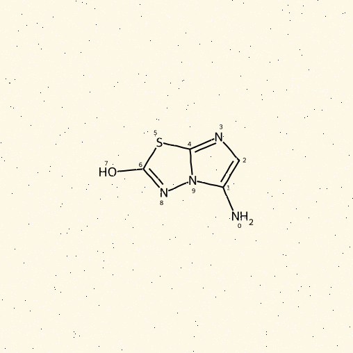 Nc1cnc2sc(O)nn12